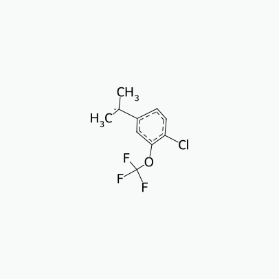 C[C](C)c1ccc(Cl)c(OC(F)(F)F)c1